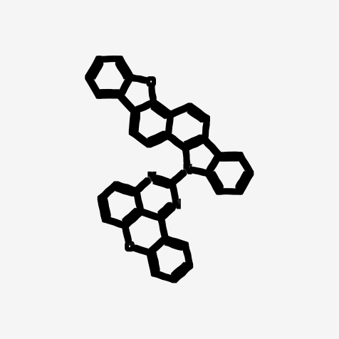 c1ccc2c(c1)Oc1cccc3nc(-n4c5ccccc5c5ccc6c(ccc7c8ccccc8oc76)c54)nc-2c13